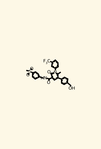 Cc1c(-c2ccc(CO)cc2)cc(C(=O)NCc2ccc(S(C)(=O)=O)cc2)c(=O)n1-c1cccc(C(F)(F)F)c1